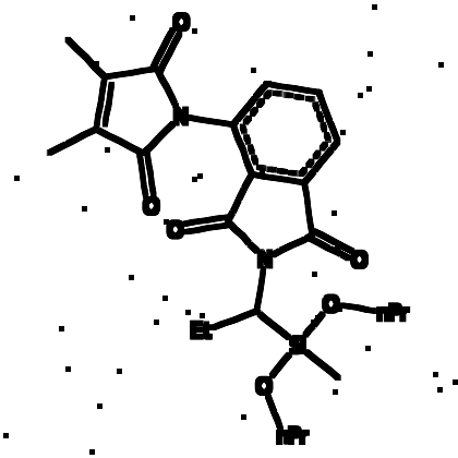 CCCO[Si](C)(OCCC)C(CC)N1C(=O)c2cccc(N3C(=O)C(C)=C(C)C3=O)c2C1=O